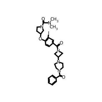 CN(C)C(=O)N1CCC(Oc2ccc(C(=O)N3CC(N4CCN(C(=O)c5ccccc5)CC4)C3)cc2I)C1